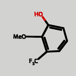 COc1c(O)cccc1C(F)(F)F